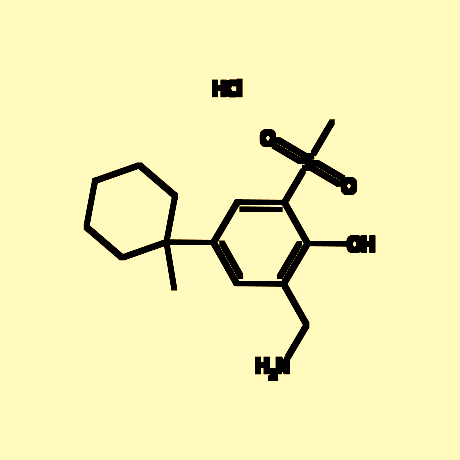 CC1(c2cc(CN)c(O)c(S(C)(=O)=O)c2)CCCCC1.Cl